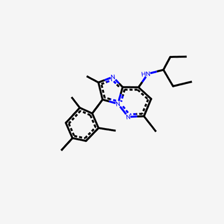 CCC(CC)Nc1cc(C)nn2c(-c3c(C)cc(C)cc3C)c(C)nc12